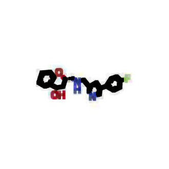 O[C@H]1C[C@@H](CNCc2cncc(-c3ccc(F)cc3)c2)Oc2ccccc21